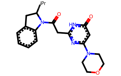 CC(C)C1Cc2ccccc2N1C(=O)Cc1nc(N2CCOCC2)cc(=O)[nH]1